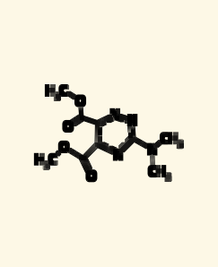 COC(=O)c1nnc(N(C)C)nc1C(=O)OC